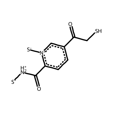 O=C(CS)c1ccc(C(=O)[NH2+][S-])[n+]([S-])c1